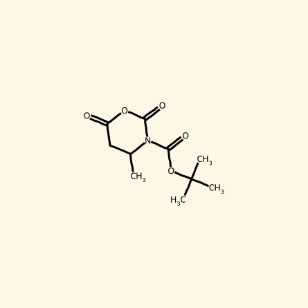 CC1CC(=O)OC(=O)N1C(=O)OC(C)(C)C